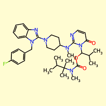 CC(C)C(OC(=O)N(C)C(C)(C)C(C)C)n1c(N(C)C2CCN(c3nc4ccccc4n3Cc3ccc(F)cc3)CC2)nccc1=O